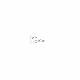 [C].[Co+2].[Co].[O-2]